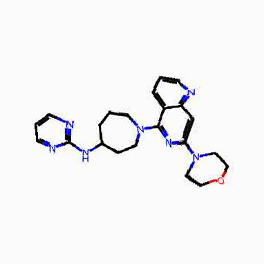 c1cnc(NC2CCCN(c3nc(N4CCOCC4)cc4ncccc34)CC2)nc1